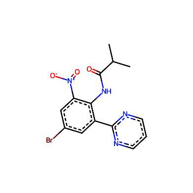 CC(C)C(=O)Nc1c(-c2ncccn2)cc(Br)cc1[N+](=O)[O-]